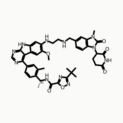 COc1cc2c(cc1NCCNCc1ccc3c(c1)n(C)c(=O)n3C1CCC(=O)NC1=O)[nH]c1ncnc(-c3ccc([C@@H](C)NC(=O)c4nc(C(C)(C)C)no4)c(C)c3)c12